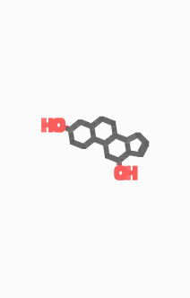 OC1CCC2C(CCC3C4CC=CC4C(O)CC23)C1